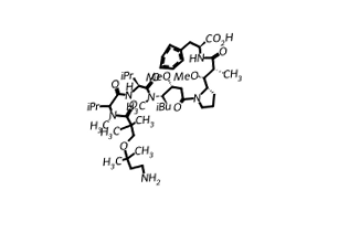 CC[C@H](C)[C@@H]([C@@H](CC(=O)N1CCC[C@H]1[C@H](OC)[C@@H](C)C(=O)N[C@@H](Cc1ccccc1)C(=O)O)OC)N(C)C(=O)[C@@H](NC(=O)C(C(C)C)N(C)C(=O)C(C)(C)COC(C)(C)CCN)C(C)C